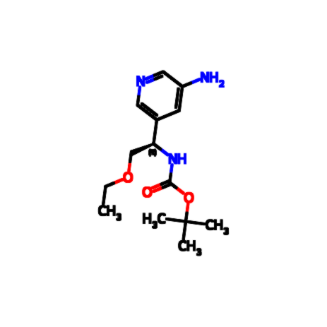 CCOC[C@H](NC(=O)OC(C)(C)C)c1cncc(N)c1